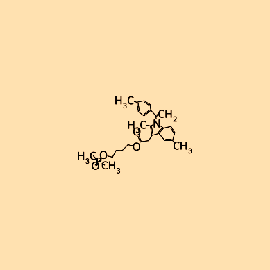 C=C(c1ccc(C)cc1)n1c(C)c(CC(=O)OCCCCOP(C)(C)=O)c2cc(C)ccc21